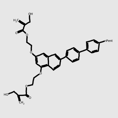 C=C(CO)C(=O)OCCOc1cc(OCCOC(=O)C(=C)CO)c2ccc(-c3ccc(-c4ccc(CCCCC)cc4)cc3)cc2c1